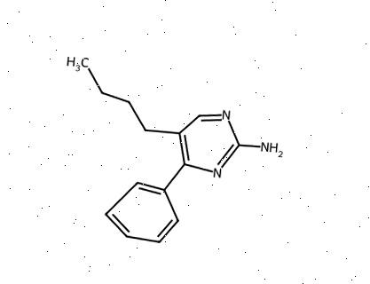 CCCCc1cnc(N)nc1-c1ccccc1